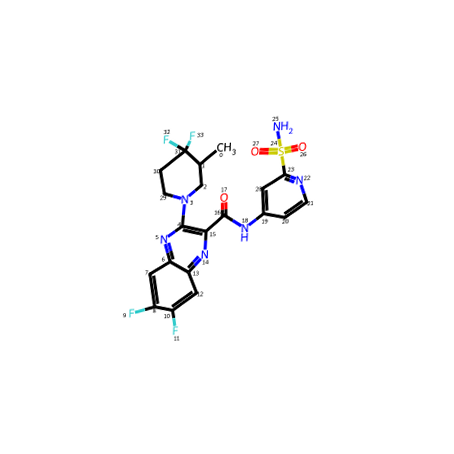 CC1CN(c2nc3cc(F)c(F)cc3nc2C(=O)Nc2ccnc(S(N)(=O)=O)c2)CCC1(F)F